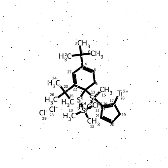 CC(C)(C)C1=CCC(S[Si](C)(C)C)([Si](C)(C)C2=[C]([Ti+2])CC=C2)C(C(C)(C)C)=C1.[Cl-].[Cl-]